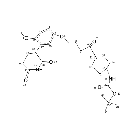 COc1ccc(OCCCC(=O)N2CCC(NC(=O)OC(C)(C)C)CC2)cc1N1CCC(=O)NC1=O